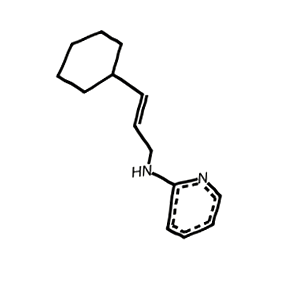 C(=CC1CCCCC1)CNc1ccccn1